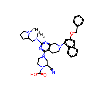 CN(CC1CCCN1C)c1nc2c(c(N3CCN(C(=O)O)C(C#N)C3)n1)CCN(c1cc(OCc3ccccc3)cc3ccccc13)C2